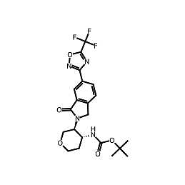 CC(C)(C)OC(=O)N[C@@H]1CCOC[C@H]1N1Cc2ccc(-c3noc(C(F)(F)F)n3)cc2C1=O